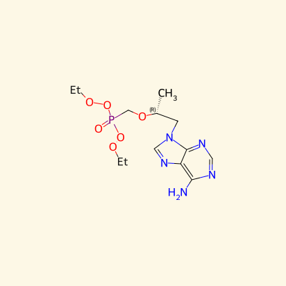 CCOOP(=O)(CO[C@H](C)Cn1cnc2c(N)ncnc21)OOCC